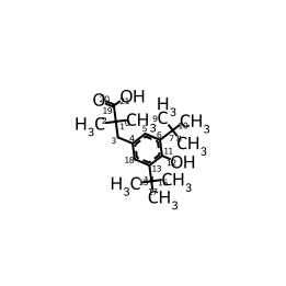 CC(C)(Cc1cc(C(C)(C)C)c(O)c(C(C)(C)C)c1)C(=O)O